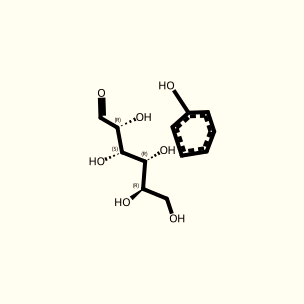 O=C[C@H](O)[C@@H](O)[C@H](O)[C@H](O)CO.Oc1ccccc1